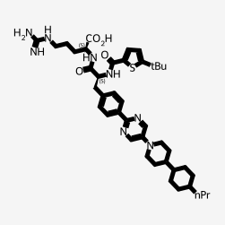 CCCC1CCC(C2CCN(c3cnc(-c4ccc(C[C@H](NC(=O)c5ccc(C(C)(C)C)s5)C(=O)N[C@@H](CCCNC(=N)N)C(=O)O)cc4)nc3)CC2)CC1